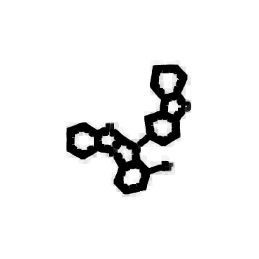 Brc1cccc2c1n(-c1ccc3oc4ccccc4c3c1)c1nc3ccccc3n21